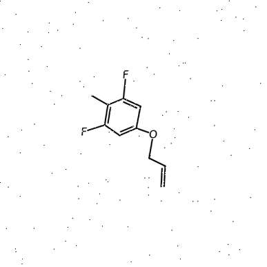 C=CCOc1cc(F)c(C)c(F)c1